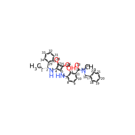 CC[C@@H](Nc1c(Nc2cccc(C(=O)N(C)Cc3ccccc3)c2O)c(=O)c1=O)c1ccccc1